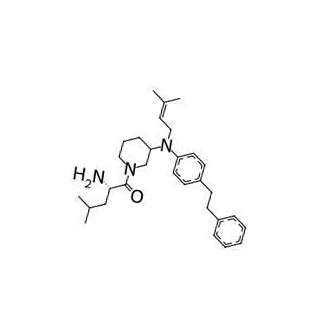 CC(C)=CCN(c1ccc(CCc2ccccc2)cc1)C1CCCN(C(=O)[C@@H](N)CC(C)C)C1